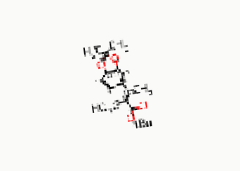 C/C(=C(/C(=O)O)C(=O)OC(C)(C)C)c1ccc2c(c1)OC(C)(C)O2